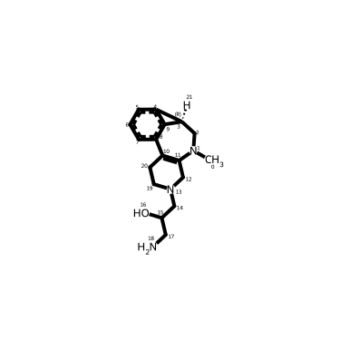 CN1C[C@@H]2c3cccc(c32)C2=C1CN(CC(O)CN)CC2